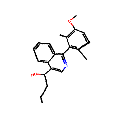 CCCC(O)c1cnc(-c2c(C)ccc(OC)c2C)c2ccccc12